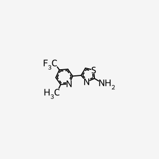 Cc1cc(C(F)(F)F)cc(-c2csc(N)n2)n1